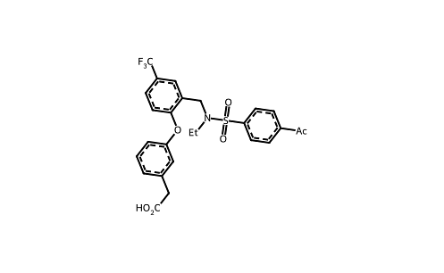 CCN(Cc1cc(C(F)(F)F)ccc1Oc1cccc(CC(=O)O)c1)S(=O)(=O)c1ccc(C(C)=O)cc1